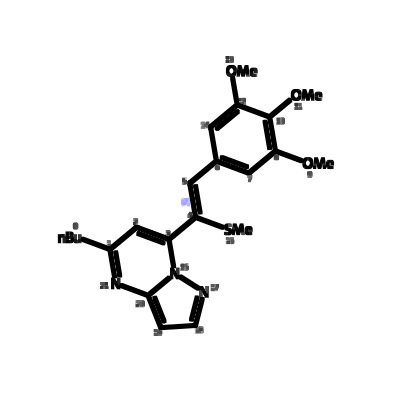 CCCCc1cc(/C(=C/c2cc(OC)c(OC)c(OC)c2)SC)n2nccc2n1